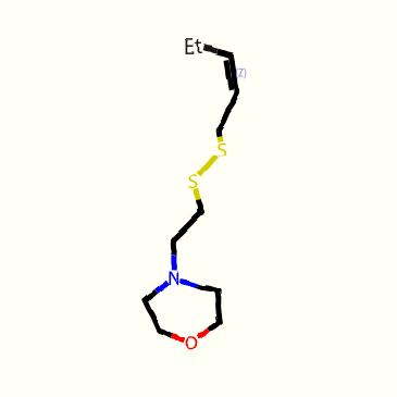 CC/C=C\CSSCCN1CCOCC1